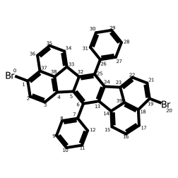 Brc1ccc2c3c(-c4ccccc4)c4c5cccc6c(Br)ccc(c4c(-c4ccccc4)c3c3cccc1c32)c65